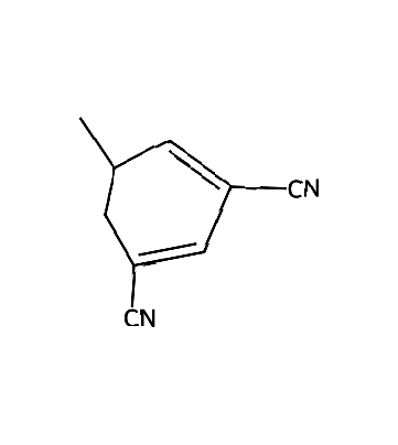 CC1C=C(C#N)C=C(C#N)C1